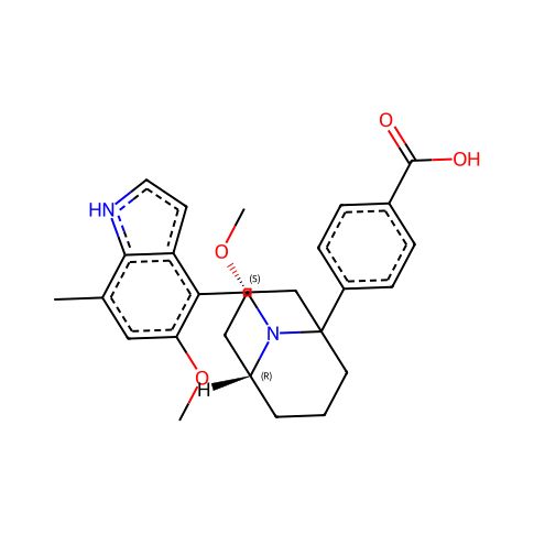 COc1cc(C)c2[nH]ccc2c1CN1[C@@H]2CCCC1(c1ccc(C(=O)O)cc1)C[C@@H](OC)C2